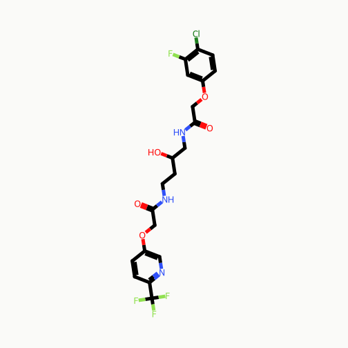 O=C(COc1ccc(C(F)(F)F)nc1)NCCC(O)CNC(=O)COc1ccc(Cl)c(F)c1